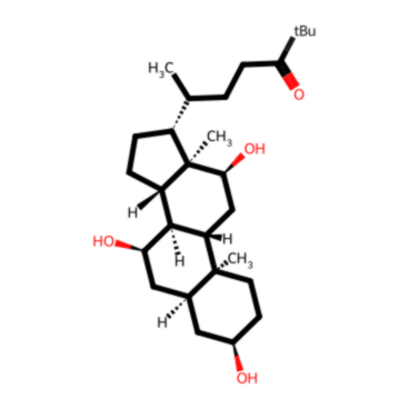 CC(CCC(=O)C(C)(C)C)[C@H]1CC[C@H]2[C@@H]3[C@H](O)C[C@@H]4C[C@H](O)CC[C@]4(C)[C@H]3C[C@H](O)[C@]12C